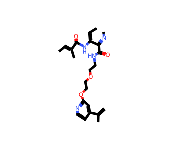 C=C(C)c1ccnc(OCCOCCNC(=O)C(=N/C)/C(=C\C)NC(=O)/C(C)=C/C)c1